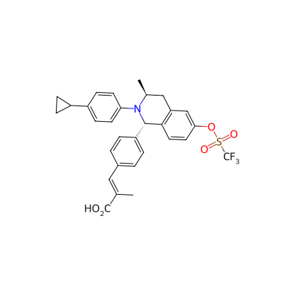 C/C(=C\c1ccc([C@H]2c3ccc(OS(=O)(=O)C(F)(F)F)cc3C[C@H](C)N2c2ccc(C3CC3)cc2)cc1)C(=O)O